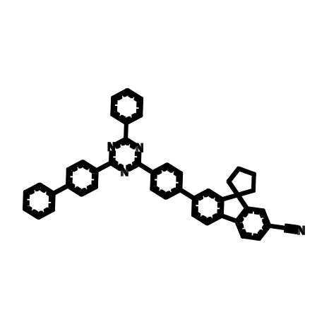 N#Cc1ccc2c(c1)C1(CCCC1)c1cc(-c3ccc(-c4nc(-c5ccccc5)nc(-c5ccc(-c6ccccc6)cc5)n4)cc3)ccc1-2